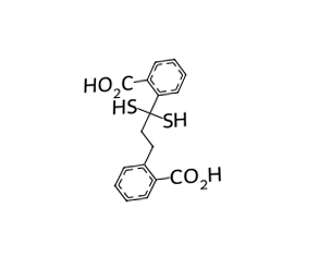 O=C(O)c1ccccc1CCC(S)(S)c1ccccc1C(=O)O